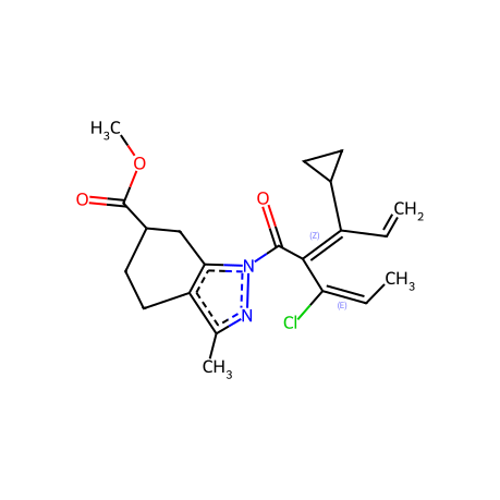 C=C/C(=C(C(=O)n1nc(C)c2c1CC(C(=O)OC)CC2)\C(Cl)=C/C)C1CC1